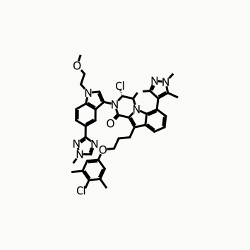 COCCn1cc(N2C(=O)c3c(CCCOc4cc(C)c(Cl)c(C)c4)c4cccc(-c5c(C)nn(C)c5C)c4n3C(C)[C@H]2Cl)c2cc(-c3ncn(C)n3)ccc21